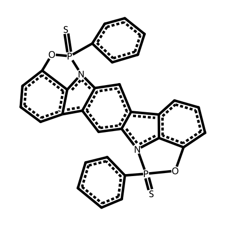 S=P1(c2ccccc2)Oc2cccc3c4cc5c(cc4n1c23)c1cccc2c1n5P(=S)(c1ccccc1)O2